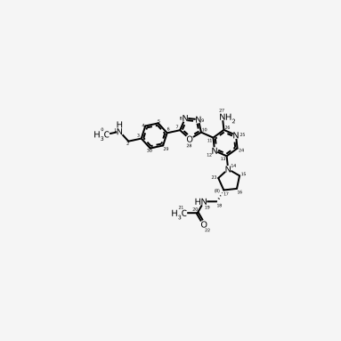 CNCc1ccc(-c2nnc(-c3nc(N4CC[C@H](CNC(C)=O)C4)cnc3N)o2)cc1